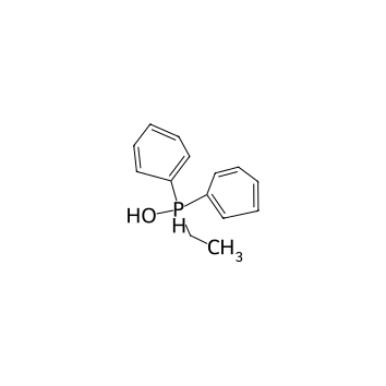 CC[PH](O)(c1ccccc1)c1ccccc1